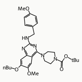 CCCCOc1cc2nc(NCc3ccc(OC)cc3)nc(N3CCN(C(=O)OC(C)(C)C)CC3)c2cc1OC